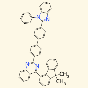 CC1(C)c2ccccc2-c2c(-c3nc(-c4ccc(-c5ccc(-c6nc7ccccc7n6-c6ccccc6)cc5)cc4)nc4ccccc34)cccc21